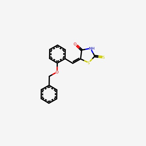 O=C1NC(=S)SC1=Cc1ccccc1OCc1ccccc1